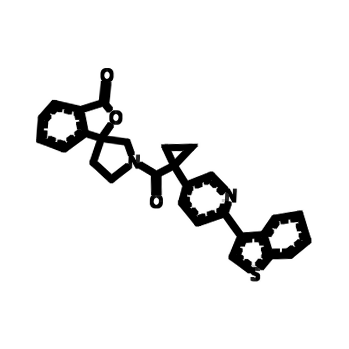 O=C1OC2(CCN(C(=O)C3(c4ccc(-c5csc6ccccc56)nc4)CC3)C2)c2ccccc21